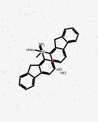 CCCCC[CH2][Hf]([CH3])(=[SiH2])([c]1cccc2c1Cc1ccccc1-2)[c]1cccc2c1Cc1ccccc1-2.Cl.Cl